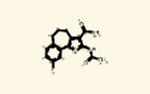 CC(=O)Nc1sc2c(c1C(N)=O)CCCc1ccc(F)cc1-2